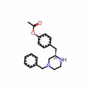 CC(=O)Oc1ccc(C[C@@H]2CN(Cc3ccccc3)CCN2)cc1